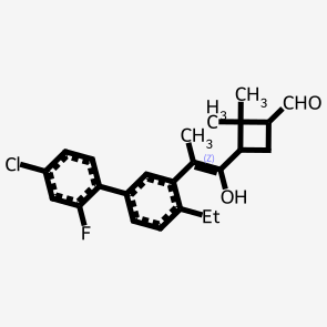 CCc1ccc(-c2ccc(Cl)cc2F)cc1/C(C)=C(\O)C1CC(C=O)C1(C)C